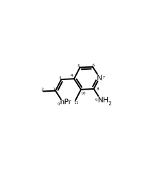 CCC/C(C)=C\c1ccnc(N)c1C